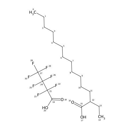 CCCCCCCCCCCCC(CC)C(=O)O.O=C(O)C(F)(F)C(F)(F)C(F)(F)F